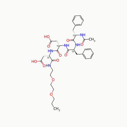 CCCOCCOCCNC(=O)[C@H](CC(=O)O)NC(=O)[C@H](CC(=O)O)NC(=O)[C@H](Cc1ccccc1)NC(=O)[C@H](Cc1ccccc1)NC(C)=O